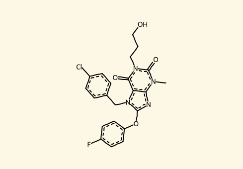 Cn1c(=O)n(CCCO)c(=O)c2c1nc(Oc1ccc(F)cc1)n2Cc1ccc(Cl)cc1